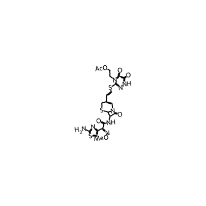 CON=C(C(=O)NC1C(=O)N2C=C(C=CSc3n[nH]c(=O)c(=O)n3CCOC(C)=O)CSC12)c1csc(N)n1